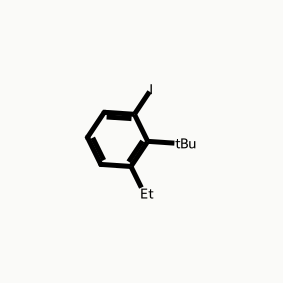 CCc1cccc(I)c1C(C)(C)C